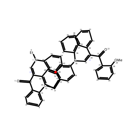 CCN(/C=C(/C(=O)c1ccccc1OCc1ccc(N(/C=C(/C(=O)c2ccccc2OC)c2ccccc2)c2ccccc2)cc1)c1ccccc1)c1ccccc1